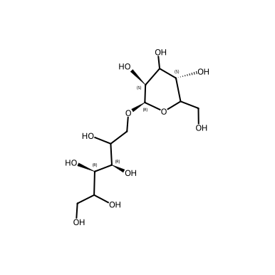 OCC1O[C@@H](OCC(O)[C@@H](O)[C@H](O)C(O)CO)[C@@H](O)C(O)[C@@H]1O